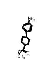 COC(=O)C1CCC(c2ccc(N)cc2)CC1